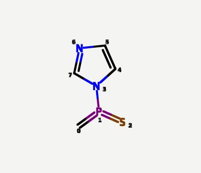 C=P(=S)n1ccnc1